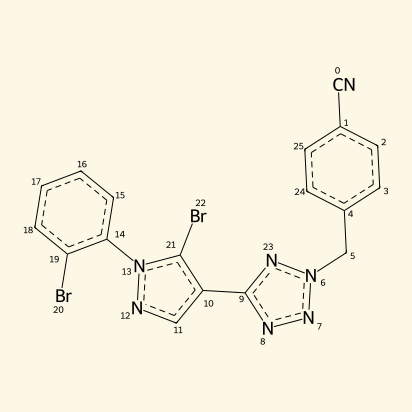 N#Cc1ccc(Cn2nnc(-c3cnn(-c4ccccc4Br)c3Br)n2)cc1